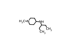 CCC(CC)NC1CCN(C)CC1